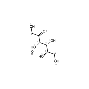 O=C(CO)[C@@H](O)[C@H](O)[C@H](O)CO.[K]